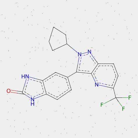 O=c1[nH]c2ccc(-c3c4nc(C(F)(F)F)ccc4nn3C3CCCC3)cc2[nH]1